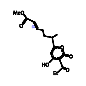 CCC(=O)c1c(O)cc(C(C)CC/C=C/C(=O)OC)oc1=O